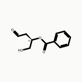 O=CC[C@H](CO)OC(=O)c1ccccc1